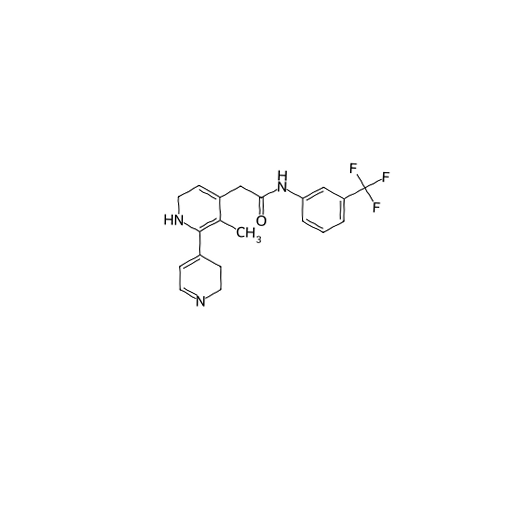 CC1=C(C2=CC=NCC2)NCC=C1CC(=O)Nc1cccc(C(F)(F)F)c1